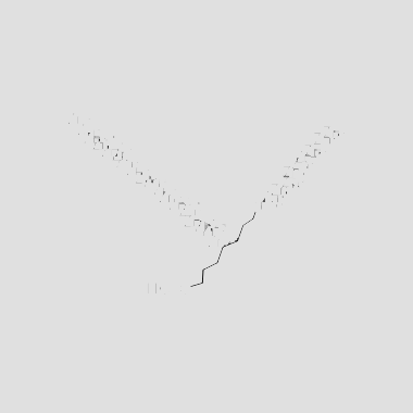 CCCCCCCCCCCCCCCCCC(=O)O.[Zn+2].[Zn+2].[Zn+2].[Zn+2].[Zn+2].[Zn+2].[Zn+2].[Zn+2].[Zn+2].[Zn+2].[Zn+2].[Zn+2].[Zn+2].[Zn+2].[Zn+2].[Zn+2].[Zn+2].[Zn+2].[Zn+2].[Zn+2].[Zn+2].[Zn+2].[Zn+2].[Zn+2].[Zn+2].[Zn+2].[Zn+2]